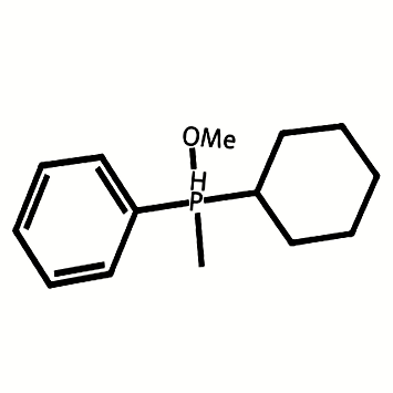 CO[PH](C)(c1ccccc1)C1CCCCC1